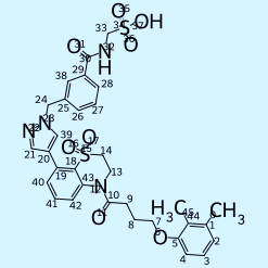 Cc1cccc(OCCCC(=O)N2CCS(=O)(=O)c3c(-c4cnn(Cc5cccc(C(=O)NCS(=O)(=O)O)c5)c4)cccc32)c1C